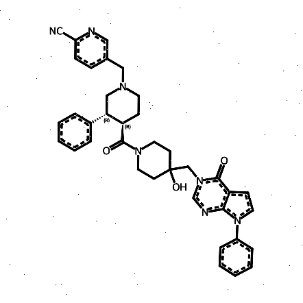 N#Cc1ccc(CN2CC[C@@H](C(=O)N3CCC(O)(Cn4cnc5c(ccn5-c5ccccc5)c4=O)CC3)[C@H](c3ccccc3)C2)cn1